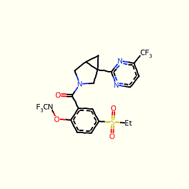 CCS(=O)(=O)c1ccc(ONC(F)(F)F)c(C(=O)N2CC3CC3(c3nccc(C(F)(F)F)n3)C2)c1